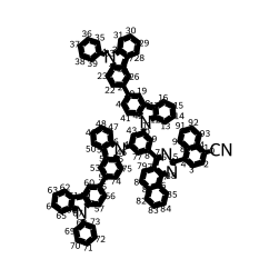 N#Cc1ccc(-c2nc(-c3cc(-n4c5ccccc5c5cc(-c6ccc7c(c6)c6ccccc6n7-c6ccccc6)ccc54)cc(-n4c5ccccc5c5cc(-c6ccc7c(c6)c6ccccc6n7-c6ccccc6)ccc54)c3)c3ccc4ccccc4c3n2)c2ccccc12